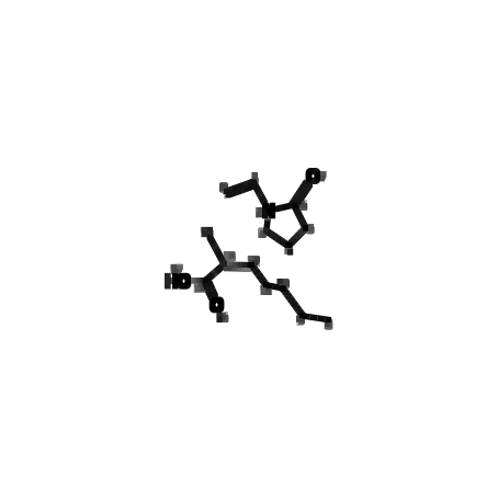 C=CN1CCCC1=O.CCCCC=C(C)C(=O)O